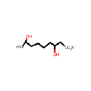 CCCCC(O)CCCCC(O)CC(=O)O